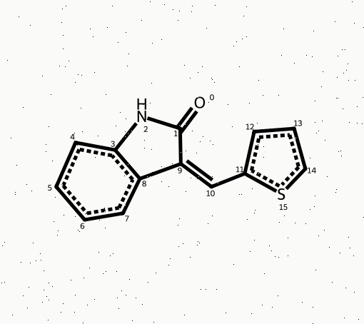 O=C1Nc2ccccc2C1=Cc1cccs1